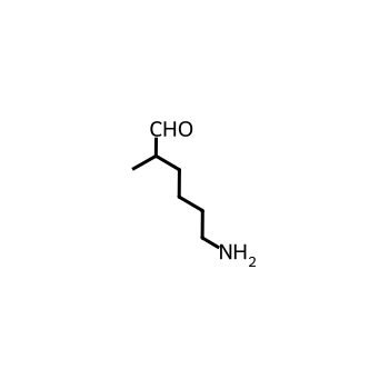 CC(C=O)CCCCN